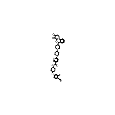 N#Cc1ccc(OC2CCC(NC(=O)c3ccc(N4CCC(N5CCN(Cc6ccccc6N6CCC(=O)NC6=O)CC5)CC4)nn3)CC2)cc1Cl